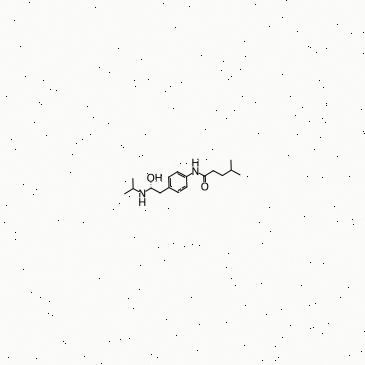 CC(C)CCC(=O)Nc1ccc(C[C@@H](O)NC(C)C)cc1